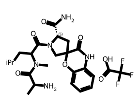 CC(C)CC(C(=O)N1CC2(C[C@H]1C(N)=O)Oc1ccccc1NC2=O)N(C)C(=O)C(C)N.O=C(O)C(F)(F)F